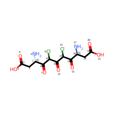 N[C@@H](CC(=O)O)C(=O)C(Cl)C(=O)C(Cl)C(=O)[C@@H](N)CC(=O)O